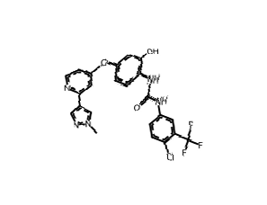 Cn1cc(-c2cc(Oc3ccc(NC(=O)Nc4ccc(Cl)c(C(F)(F)F)c4)c(O)c3)ccn2)cn1